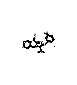 CC(C)c1c(Sc2cccc(Cl)c2)nc(C=O)n1Cc1ccncc1